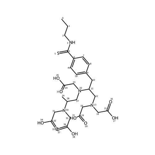 CCCNC(=S)c1ccc(CC(CN(CC(=O)O)CC(=O)O)N(CC(=O)O)CC(C)N(CC(=O)O)CC(=O)O)cc1